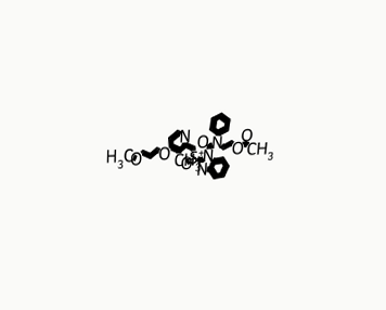 COCCCOc1ccnc(C[S+]([O-])c2nc3ccccc3n2C(=O)N(CCOC(C)=O)c2ccccc2)c1C